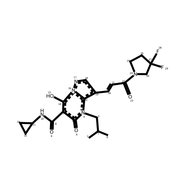 CC(C)Cn1c(=O)c(C(=O)NC2CC2)c(O)n2ncc(C=CC(=O)N3CCC(F)(F)C3)c12